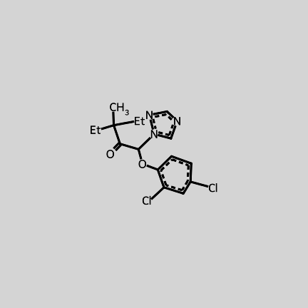 CCC(C)(CC)C(=O)C(Oc1ccc(Cl)cc1Cl)n1cncn1